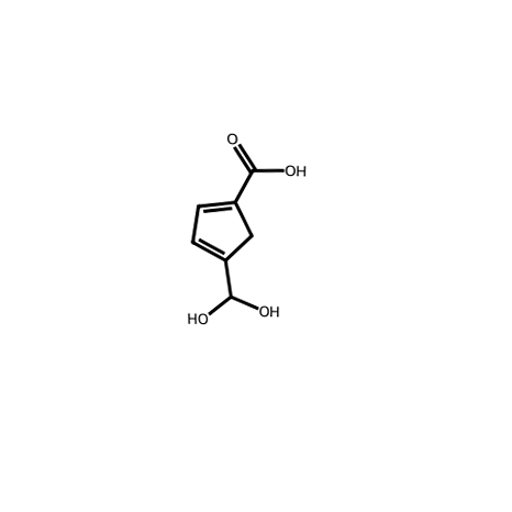 O=C(O)C1=CC=C(C(O)O)C1